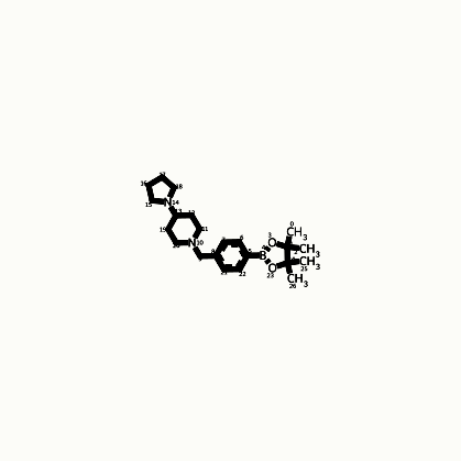 CC1(C)OB(c2ccc(CN3CCC(N4CCCC4)CC3)cc2)OC1(C)C